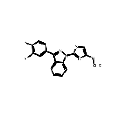 O=COc1csc(-n2nc(-c3ccc(F)c(Cl)c3)c3ccccc32)n1